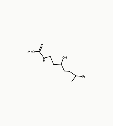 COC(=O)NCCC(O)CCC(C)C(C)C